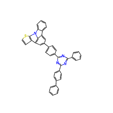 c1ccc(-c2ccc(-c3nc(-c4ccccc4)nc(-c4ccc(-c5cc6c7ccccc7n7c8sccc8c(c5)c67)cc4)n3)cc2)cc1